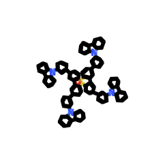 O=S12(c3ccc(-c4cccc(-n5c6ccccc6c6ccccc65)c4)cc3-c3cc(-c4cccc(-n5c6ccccc6c6ccccc65)c4)ccc31)c1ccc(-c3cccc(-n4c5ccccc5c5ccccc54)c3)cc1-c1cc(-c3cccc(-n4c5ccccc5c5ccccc54)c3)ccc12